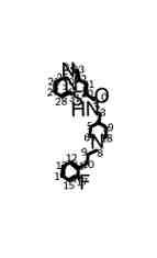 O=C(NCC1CCN(CCCc2ccccc2F)CC1)C1=Cc2cnc3cccc(n23)S1